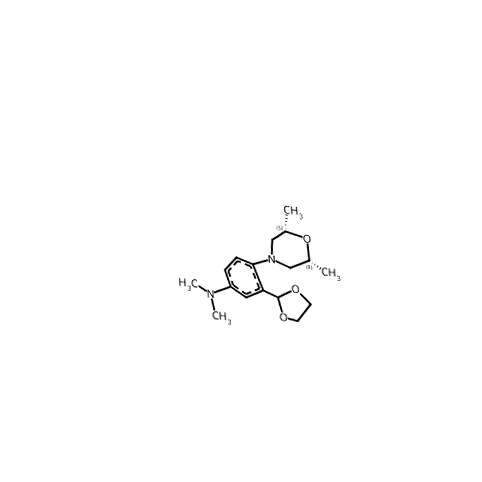 C[C@@H]1CN(c2ccc(N(C)C)cc2C2OCCO2)C[C@H](C)O1